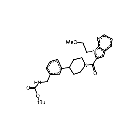 COCCn1c(C(=O)N2CCC(c3cccc(CNC(=O)OC(C)(C)C)c3)CC2)cc2cccnc21